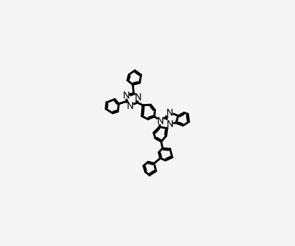 c1ccc(-c2cccc(-c3ccc4c(c3)n3c5ccccc5nc3n4-c3ccc(-c4nc(-c5ccccc5)nc(-c5ccccc5)n4)cc3)c2)cc1